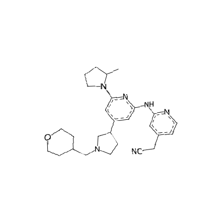 CC1CCCN1c1cc(C2CCN(CC3CCOCC3)C2)cc(Nc2cc(CC#N)ccn2)n1